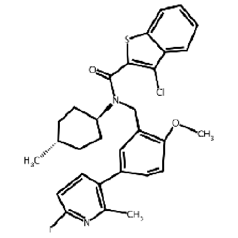 COc1ccc(-c2ccc(I)nc2C)cc1CN(C(=O)c1sc2ccccc2c1Cl)[C@H]1CC[C@H](C)CC1